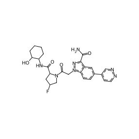 NC(=O)c1nn(CC(=O)N2CC(F)CC2C(=O)NC2CCCCC2O)c2ccc(-c3ccnnc3)cc12